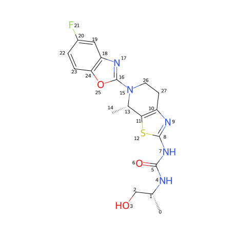 C[C@H](CO)NC(=O)Nc1nc2c(s1)[C@H](C)N(c1nc3cc(F)ccc3o1)CC2